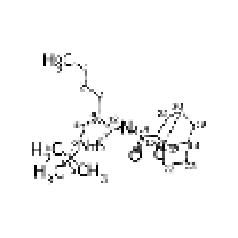 CCCCc1cn(C(C)(C)C)s/c1=N\C(=O)C12CC3CC(CC(C3)C1)C2